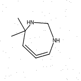 CC1(C)C=C=CNCN1